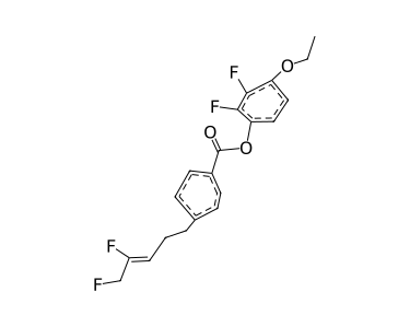 CCOc1ccc(OC(=O)c2ccc(CC/C=C(\F)CF)cc2)c(F)c1F